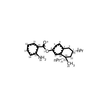 CCC[C@H]1Cc2ccc(OC(=O)c3ccccc3N)cc2[C@@](C)(CCC)C1